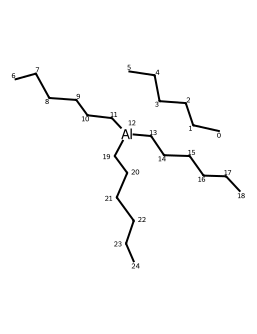 CCCCCC.CCCCC[CH2][Al]([CH2]CCCCC)[CH2]CCCCC